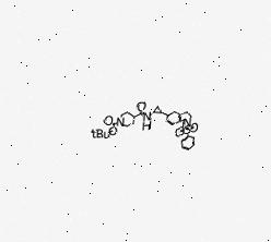 CC(C)(C)OC(=O)N1CCC(C(=O)NC2CC2c2ccc3c(c2)CCN3S(=O)(=O)c2ccccc2)CC1